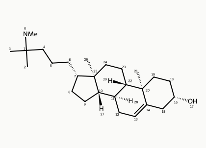 CNC(C)(C)CCC[C@H]1CC[C@H]2[C@@H]3CC=C4C[C@@H](O)CC[C@]4(C)[C@H]3CC[C@]12C